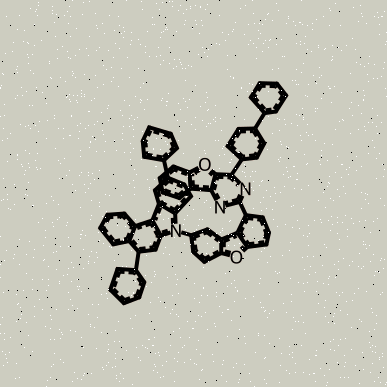 c1ccc(-c2ccc(-c3nc(-c4cccc5oc6ccc(-n7c8ccc(-c9ccccc9)cc8c8c9ccccc9c(-c9ccccc9)cc87)cc6c45)nc4c3oc3ccccc34)cc2)cc1